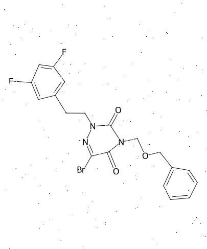 O=c1c(Br)nn(CCc2cc(F)cc(F)c2)c(=O)n1COCc1ccccc1